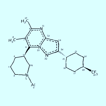 CC(=O)N1CCC[C@@H](c2c(C)c(C)nc3cc([C@H]4CC[C@H](C(F)(F)F)CC4)nn23)C1